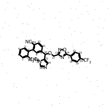 Cc1ccccc1-c1cc(C(OCc2noc(-c3ccc(C(F)(F)F)cc3)n2)c2cncn2C)ccc1C#N